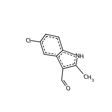 Cc1[nH]c2ccc(Cl)cc2c1C=O